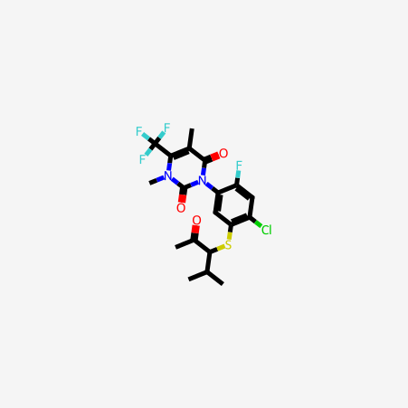 CC(=O)C(Sc1cc(-n2c(=O)c(C)c(C(F)(F)F)n(C)c2=O)c(F)cc1Cl)C(C)C